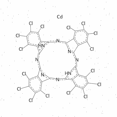 Clc1c(Cl)c(Cl)c2c(c1Cl)-c1nc-2nc2[nH]c(nc3nc(nc4[nH]c(n1)c1c(Cl)c(Cl)c(Cl)c(Cl)c41)-c1c(Cl)c(Cl)c(Cl)c(Cl)c1-3)c1c(Cl)c(Cl)c(Cl)c(Cl)c21.[Cd]